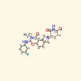 CN(C(=O)Nc1cccc(F)c1)C(=O)c1cccc2c1CN(C1CCC(=O)NC1=O)C2